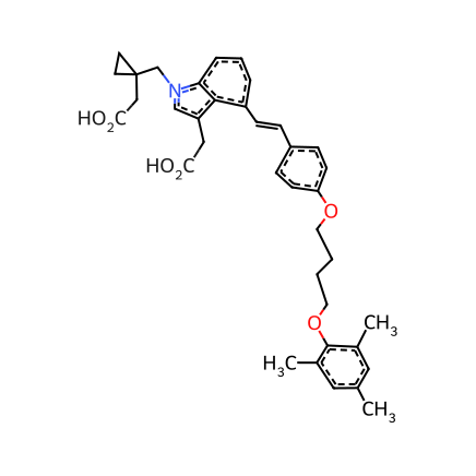 Cc1cc(C)c(OCCCCOc2ccc(C=Cc3cccc4c3c(CC(=O)O)cn4CC3(CC(=O)O)CC3)cc2)c(C)c1